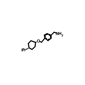 CC(C)[C@H]1CC[C@H](OCc2ccc(CN)cc2)CC1